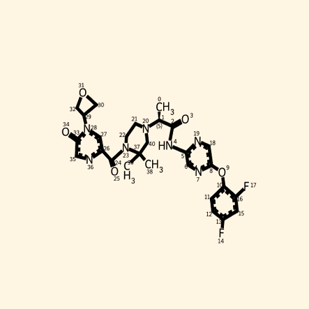 C[C@@H](C(=O)Nc1cnc(Oc2ccc(F)cc2F)cn1)N1CCN(C(=O)c2cn(C3COC3)c(=O)cn2)C(C)(C)C1